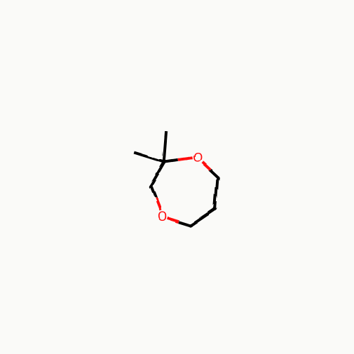 CC1(C)COCCCO1